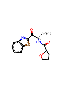 CCCCC[C@H](NC(=O)C1CCCO1)C(=O)c1nc2ccccc2s1